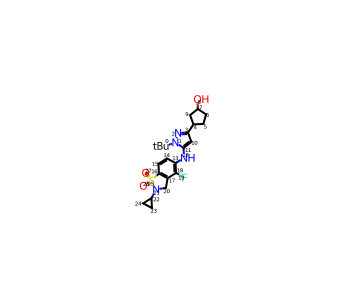 CC(C)(C)n1nc(C2CCC(O)C2)cc1Nc1ccc2c(c1F)CN(C1CC1)S2(=O)=O